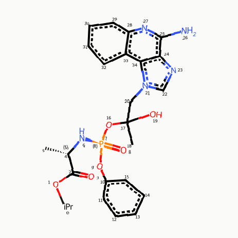 CC(C)OC(=O)[C@H](C)N[P@@](=O)(Oc1ccccc1)OC(C)(O)Cn1cnc2c(N)nc3ccccc3c21